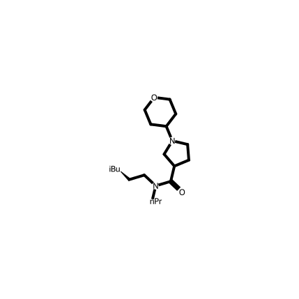 CCCN(CC[C@H](C)CC)C(=O)C1CCN(C2CCOCC2)C1